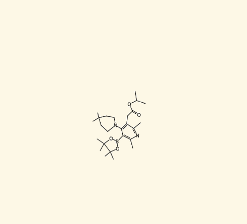 Cc1nc(C)c(B2OC(C)(C)C(C)(C)O2)c(N2CCC(C)(C)CC2)c1CC(=O)OC(C)C